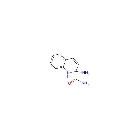 NC(=O)C1(N)C=Cc2ccccc2N1